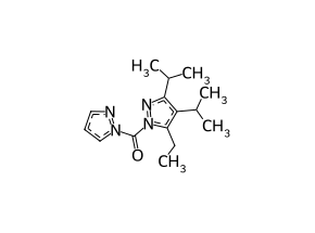 CCc1c(C(C)C)c(C(C)C)nn1C(=O)n1cccn1